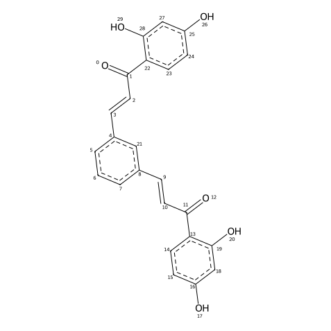 O=C(/C=C/c1cccc(/C=C/C(=O)c2ccc(O)cc2O)c1)c1ccc(O)cc1O